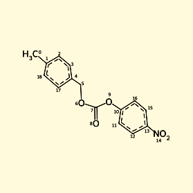 Cc1ccc(COC(=O)Oc2ccc([N+](=O)[O-])cc2)cc1